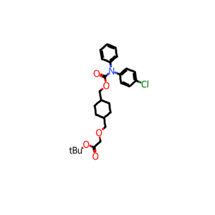 CC(C)(C)OC(=O)COCC1CCC(COC(=O)N(c2ccccc2)c2ccc(Cl)cc2)CC1